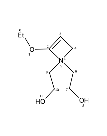 CCOC1=CC[N+]1(CCO)CCO